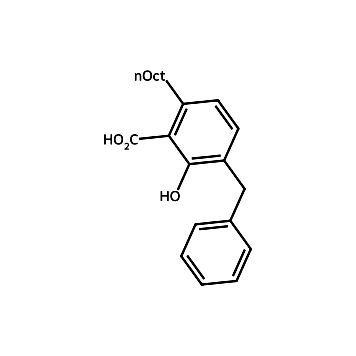 CCCCCCCCc1ccc(Cc2ccccc2)c(O)c1C(=O)O